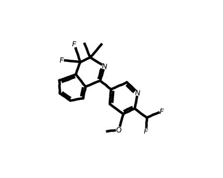 COc1cc(C2=NC(C)(C)C(F)(F)c3ccccc32)cnc1C(F)F